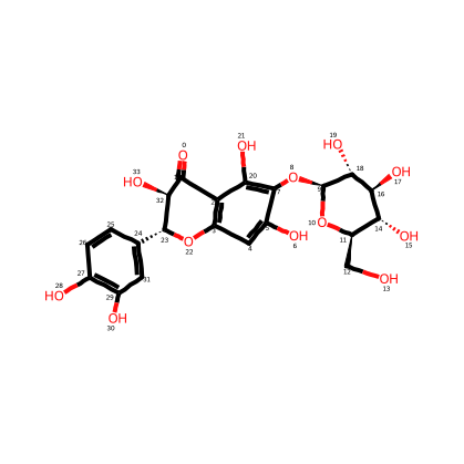 O=C1c2c(cc(O)c(O[C@@H]3O[C@H](CO)[C@@H](O)[C@H](O)[C@H]3O)c2O)O[C@H](c2ccc(O)c(O)c2)[C@H]1O